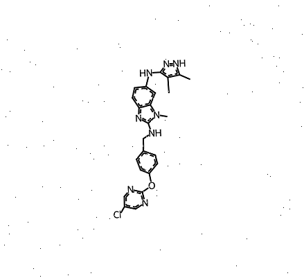 Cc1[nH]nc(Nc2ccc3nc(NCc4ccc(Oc5ncc(Cl)cn5)cc4)n(C)c3c2)c1C